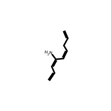 C=C/C=C(N)\C=C/CC=C